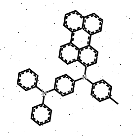 Cc1ccc(N(c2ccc(N(c3ccccc3)c3ccccc3)cc2)c2ccc3c4cccc5cccc(c6cccc2c63)c54)cc1